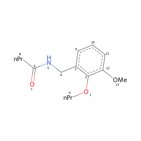 CCCOc1c(CNC(=O)CCC)cccc1OC